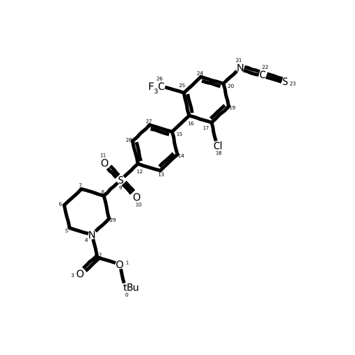 CC(C)(C)OC(=O)N1CCCC(S(=O)(=O)c2ccc(-c3c(Cl)cc(N=C=S)cc3C(F)(F)F)cc2)C1